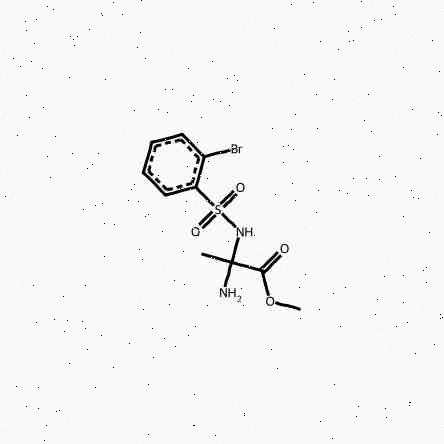 COC(=O)C(C)(N)NS(=O)(=O)c1ccccc1Br